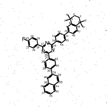 CC1(C)CCC(C)(C)c2cc(-c3ccc(-c4nc(-c5ccc(F)cc5)nc(-c5ccc(-c6ccc7ccccc7c6)cc5)n4)cc3)ccc21